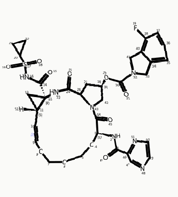 O=C(N[C@H]1CCCCC/C=C\[C@@H]2C[C@@]2(C(=O)NS(=O)(=O)C2CC2)NC(=O)C2C[C@@H](OC(=O)N3Cc4cccc(F)c4C3)CN2C1=O)c1cnccn1